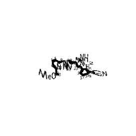 CO[C@@H](C)c1cccc(Cn2cc(-c3cc(-c4cccc(C#N)c4F)nc(N)n3)nn2)n1